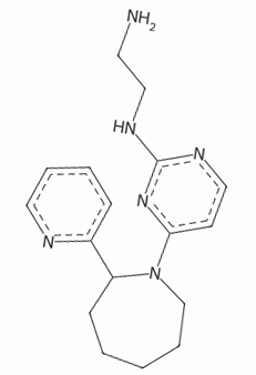 NCCNc1nccc(N2CCCCCC2c2ccccn2)n1